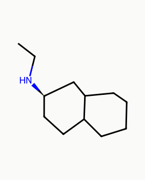 CCN[C@@H]1CCC2CCCCC2C1